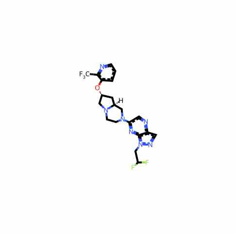 FC(F)Cn1ncc2ncc(N3CCN4C[C@H](Oc5cccnc5C(F)(F)F)C[C@H]4C3)nc21